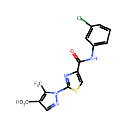 O=C(Nc1cccc(Cl)c1)c1csc(-n2ncc(C(=O)O)c2C(F)(F)F)n1